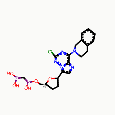 OP(O)CP(O)OC[C@@H]1CCC(c2cnc3c(N4CCc5ccccc5C4)nc(Cl)nn23)O1